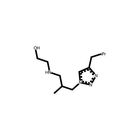 CC(C)Cc1cn(CC(C)CNCCO)nn1